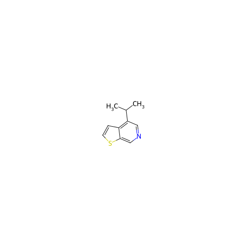 CC(C)c1cncc2sccc12